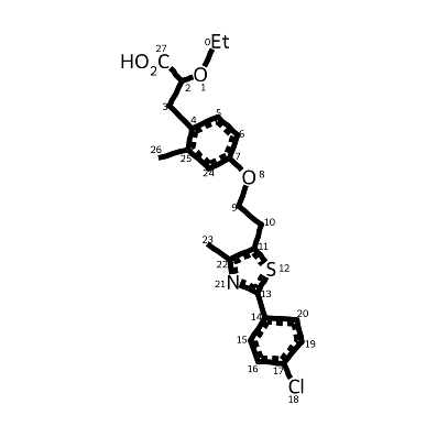 CCOC(Cc1ccc(OCCc2sc(-c3ccc(Cl)cc3)nc2C)cc1C)C(=O)O